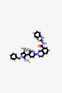 CCOC(=O)c1cn(Cc2ccccc2)c(C)c1-c1ccc(N2CCc3cccc(C(=O)Nc4nc5ccccc5s4)c3C2)nc1C(=O)O